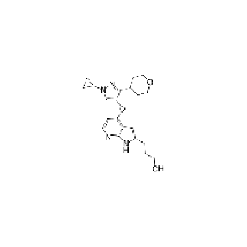 OCCCc1cc2c(Oc3cn(C4CC4)nc3C3CCOCC3)ccnc2[nH]1